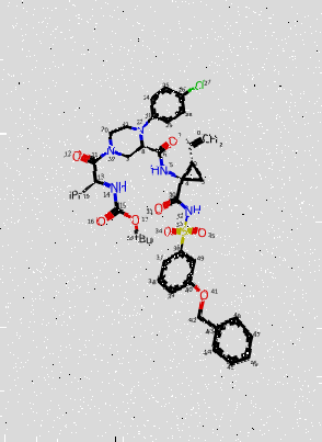 C=C[C@@H]1C[C@]1(NC(=O)[C@H]1CN(C(=O)[C@@H](NC(=O)OC(C)(C)C)C(C)C)CCN1c1ccc(Cl)cc1)C(=O)NS(=O)(=O)c1cccc(OCc2ccccc2)c1